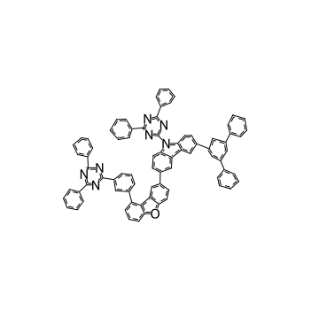 c1ccc(-c2cc(-c3ccccc3)cc(-c3ccc4c(c3)c3cc(-c5ccc6oc7cccc(-c8cccc(-c9nc(-c%10ccccc%10)nc(-c%10ccccc%10)n9)c8)c7c6c5)ccc3n4-c3nc(-c4ccccc4)nc(-c4ccccc4)n3)c2)cc1